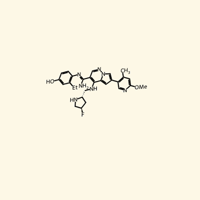 CCc1cc(O)ccc1/N=C(\N)c1cnn2cc(-c3cnc(OC)cc3C)cc2c1NC[C@@H]1C[C@@H](F)CN1